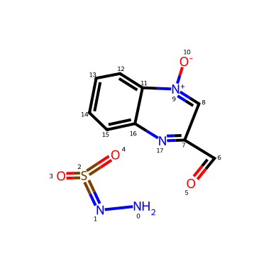 NN=S(=O)=O.O=Cc1c[n+]([O-])c2ccccc2n1